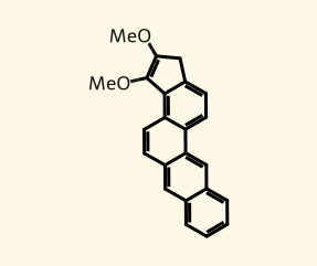 COC1=C(OC)c2c(ccc3c2ccc2cc4ccccc4cc23)C1